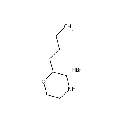 Br.CCCCC1CNCCO1